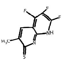 Cc1cc2c(F)c(F)c(F)[nH]c-2nc1=S